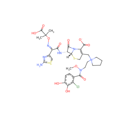 CON(CC[N+]1(CC2=C(C(=O)[O-])N3C(=O)[C@@H](NC(=O)/C(=N\OC(C)(C)C(=O)O)c4csc(N)n4)[C@H]3SC2)CCCC1)C(=O)c1ccc(O)c(O)c1Cl